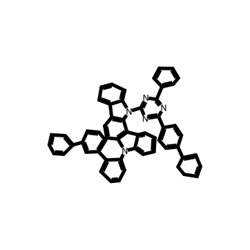 C1=CCCC(c2ccc(-c3nc(-c4ccccc4)nc(-n4c5ccccc5c5ccc6c(c7ccccc7n6-c6ccccc6-c6cccc(-c7ccccc7)c6)c54)n3)cc2)=C1